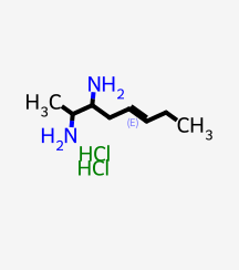 CC/C=C/CC(N)C(C)N.Cl.Cl